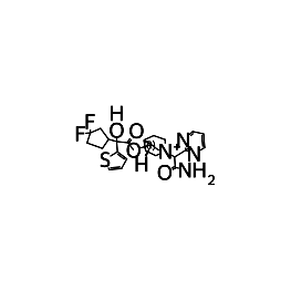 NC(=O)C(c1ncccn1)[N+]12CCC(CC1)[C@@H](OC(=O)C(O)(c1cccs1)C1CCC(F)(F)C1)C2